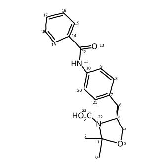 CC1(C)OC[C@H](Cc2ccc(NC(=O)c3ccccc3)cc2)N1C(=O)O